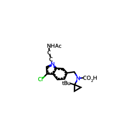 CC(=O)NCCn1cc(Cl)c2ccc(CN(C(=O)O)C3(C(C)(C)C)CC3)cc21